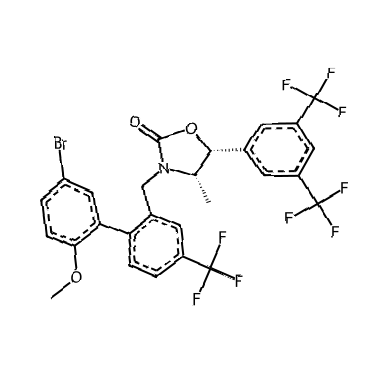 COc1ccc(Br)cc1-c1ccc(C(F)(F)F)cc1CN1C(=O)O[C@H](c2cc(C(F)(F)F)cc(C(F)(F)F)c2)[C@@H]1C